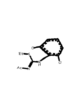 CCSC(=NC(C)=O)Nc1c(Cl)cccc1Cl